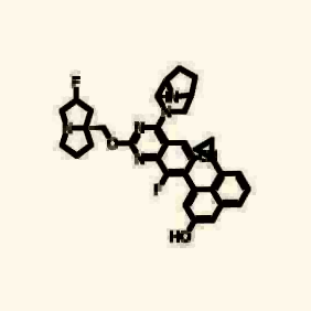 N#Cc1cc2c(N3CC4CCC(C3)N4)nc(OC[C@@]34CCCN3CC(F)C4)nc2c(F)c1-c1cc(O)cc2cccc(C3CC3)c12